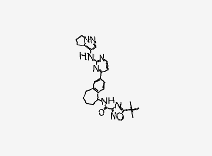 CC(C)(C)c1nc(C(=O)NC2CCCCc3cc(-c4ccnc(Nc5cnn6c5CCC6)n4)ccc32)no1